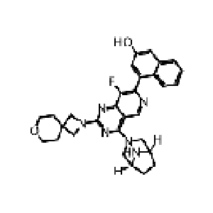 Oc1cc(-c2ncc3c(N4C[C@H]5CC[C@@H](C4)N5)nc(N4CC5(CCOCC5)C4)nc3c2F)c2ccccc2c1